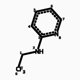 FC(F)(F)CNc1c[c]ccn1